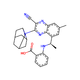 Cc1cc([C@@H](C)Nc2ccccc2C(=O)O)c2nc(N3C4CC5CC(C4)CC3C5)c(C#N)nc2c1